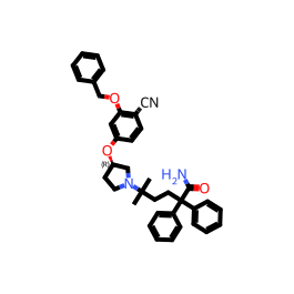 CC(C)(CCC(C(N)=O)(c1ccccc1)c1ccccc1)N1CC[C@@H](Oc2ccc(C#N)c(OCc3ccccc3)c2)C1